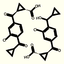 O=C(O)[C@H]1C[C@@H]1C(=O)c1ccc(C(O)C2CC2)c(Cl)c1.O=C(c1ccc(C(=O)[C@H]2C[C@@H]2C(=O)O)cc1Cl)C1CC1